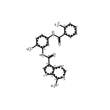 Cc1ccc(NC(=O)c2ccccc2C(F)(F)F)cc1NC(=O)c1csc2c(N)ncnc12